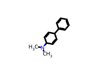 CN(C)[C]1C=CC(c2ccccc2)C=C1